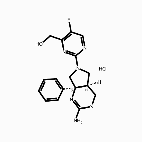 Cl.NC1=N[C@@]2(c3ccccc3)CN(c3ncc(F)c(CO)n3)C[C@H]2CS1